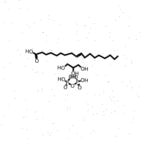 CCCCCCCCC=CCCCCCCCC(=O)O.O=P(O)(O)OP(=O)(O)O.OCC(O)CO